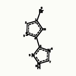 Brc1csc(-c2nc[nH]n2)c1